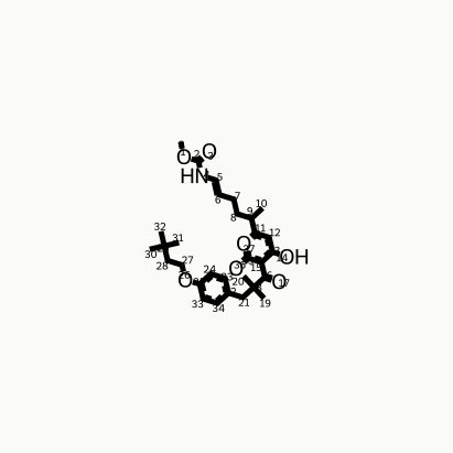 COC(=O)N/C=C/CCC(C)c1cc(O)c(C(=O)C(C)(C)Cc2ccc(OCCC(C)(C)C)cc2)c(=O)o1